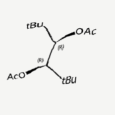 CC(=O)O[C@@H]([C@H](OC(C)=O)C(C)(C)C)C(C)(C)C